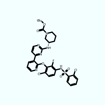 CC(C)(C)OC(=O)N1CCC[C@H](Nc2nccc(-c3cccnc3Oc3c(Cl)ccc(NS(=O)(=O)c4ccccc4Cl)c3F)n2)C1